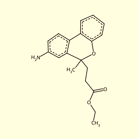 CCOC(=O)CCC1(C)Oc2ccccc2-c2ccc(N)cc21